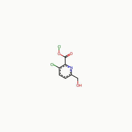 O=C(OCl)c1nc(CO)ccc1Cl